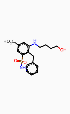 NS(=O)(=O)c1cc(C(=O)O)cc(NCCCCO)c1Cc1ccccc1